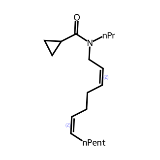 CCCCC/C=C\CC/C=C\CN(CCC)C(=O)C1CC1